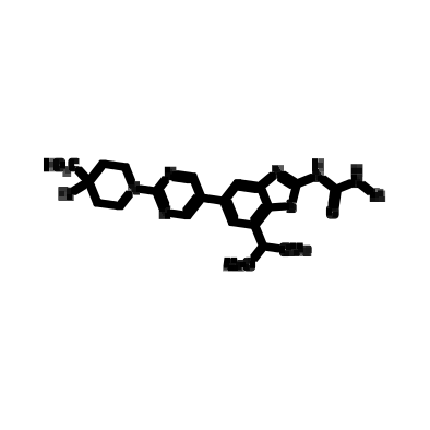 CCNC(=O)Nc1nc2cc(-c3cnc(N4CCC(CC)(C(=O)O)CC4)nc3)cc(C(OC)OC)c2s1